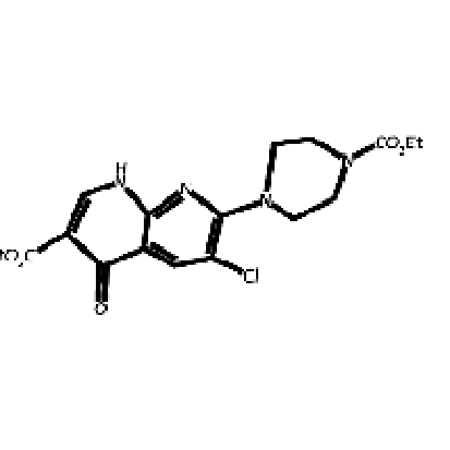 CCOC(=O)c1c[nH]c2nc(N3CCN(C(=O)OCC)CC3)c(Cl)cc2c1=O